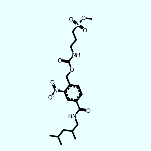 COS(=O)(=O)CCCNC(=O)OCc1ccc(C(=O)NCC(C)CC(C)C)cc1[N+](=O)[O-]